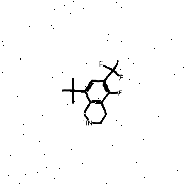 CC(C)(C)c1cc(C(C)(F)F)c(F)c2c1CNCC2